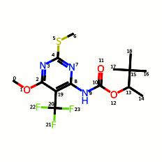 COc1nc(SC)nc(NC(=O)OC(C)C(C)(C)C)c1C(F)(F)F